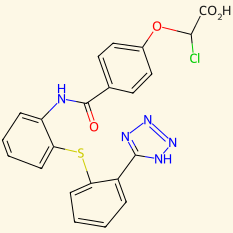 O=C(Nc1ccccc1Sc1ccccc1-c1nnn[nH]1)c1ccc(OC(Cl)C(=O)O)cc1